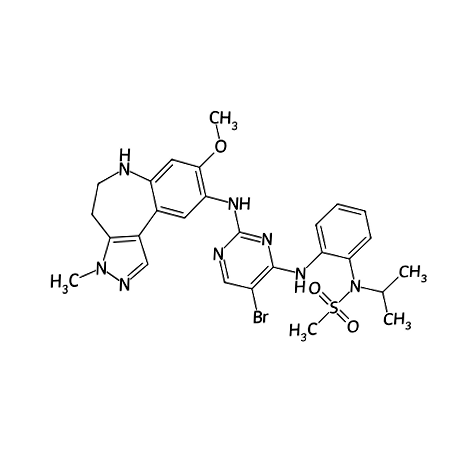 COc1cc2c(cc1Nc1ncc(Br)c(Nc3ccccc3N(C(C)C)S(C)(=O)=O)n1)-c1cnn(C)c1CCN2